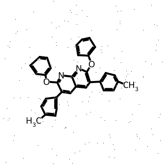 Cc1ccc(-c2cc3cc(-c4ccc(C)cc4)c(Oc4ccccc4)nc3nc2Oc2ccccc2)cc1